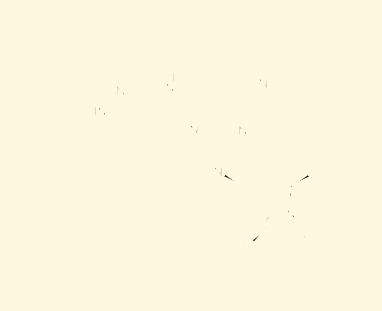 CN(c1nc(Nc2cc(CO)[nH]n2)c2cc[nH]c2n1)[C@@H]1C[C@H]2CC3C[C@@H](C1)N32